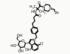 CC(C)CN1CCN(C(=O)C(C)(C)NC(=O)CCCc2ccc(Cn3cc([C@@H]4O[C@H](CO)[C@@H](O)[C@H](O)[C@H]4O)c4cccc(Cl)c43)cc2)CC1